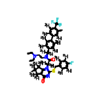 [2H]c1c([2H])c(CSc2nc(=O)c3c(n2C([2H])([2H])C(=O)N(CCN(CC)CC)C([2H])([2H])c2c([2H])c([2H])c(-c4c([2H])c([2H])c(C(F)(F)F)c(C)c4[2H])c([2H])c2[2H])C([2H])([2H])C([2H])(C)C3([2H])[2H])c([2H])c([2H])c1F